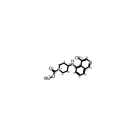 CC(C)(C)OC(=O)N1CCC(Nc2cccc3cncc(Cl)c23)CC1